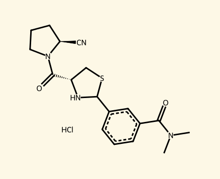 CN(C)C(=O)c1cccc(C2N[C@H](C(=O)N3CCC[C@H]3C#N)CS2)c1.Cl